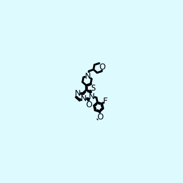 COc1ccc(Cn2c(=O)n3ccnc3c3c4c(sc32)CN(CC2CCOCC2)CC4)c(F)c1